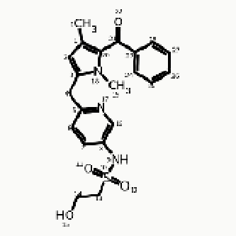 Cc1cc(Cc2ccc(NS(=O)(=O)CCO)cn2)n(C)c1C(=O)c1ccccc1